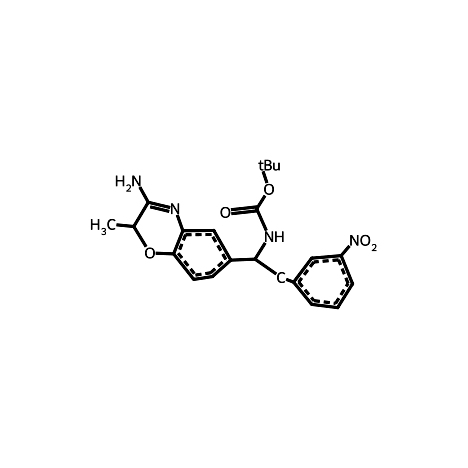 CC1Oc2ccc(C(Cc3cccc([N+](=O)[O-])c3)NC(=O)OC(C)(C)C)cc2N=C1N